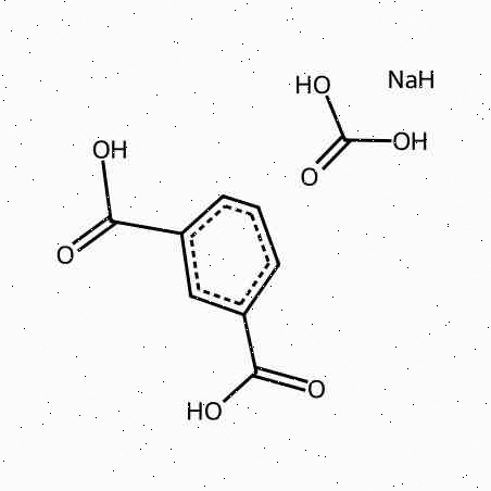 O=C(O)O.O=C(O)c1cccc(C(=O)O)c1.[NaH]